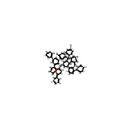 Cc1ccc(C2(c3ccc(C)cc3)c3cc(N(c4ccc(-c5ccccc5)cc4)c4ccc(-c5ccccc5)cc4-c4ccccc4)ccc3-c3c(-n4c5ccccc5c5ccccc54)cccc32)cc1